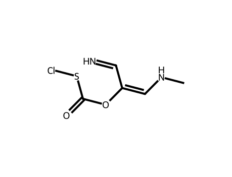 CN/C=C(\C=N)OC(=O)SCl